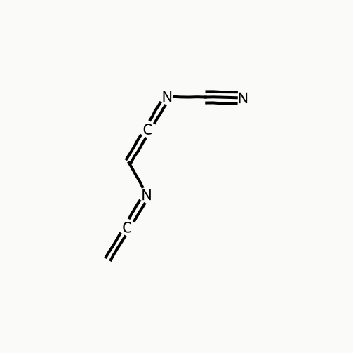 C=C=NC=C=NC#N